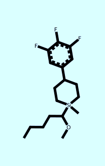 CCCCC(OC)[Si]1(C)CCC(c2cc(F)c(F)c(F)c2)CC1